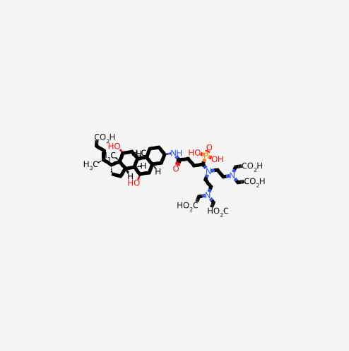 C[C@H](CCC(=O)O)[C@H]1CC[C@H]2[C@@H]3[C@H](O)C[C@@H]4C[C@H](NC(=O)CCC(N(CCN(CC(=O)O)CC(=O)O)CCN(CC(=O)O)CC(=O)O)P(=O)(O)O)CC[C@]4(C)[C@H]3C[C@H](O)[C@]12C